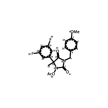 COc1ccc(CN2C(=O)N(OC(C)=O)C(C)(c3cc(F)cc(F)c3)C2=O)cc1